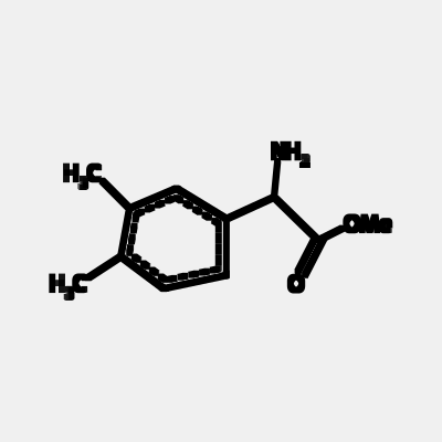 COC(=O)C(N)c1ccc(C)c(C)c1